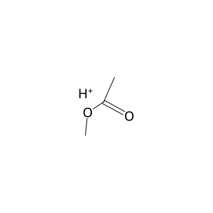 COC(C)=O.[H+]